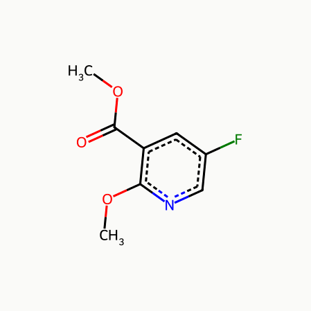 COC(=O)c1cc(F)cnc1OC